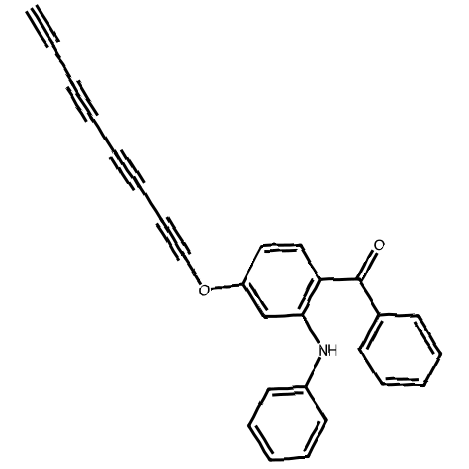 C#CC#CC#CC#COc1ccc(C(=O)c2ccccc2)c(Nc2ccccc2)c1